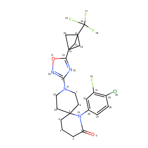 O=C1CCCC2(CCN(c3noc(C45CC(C(F)(F)F)(C4)C5)n3)CC2)N1c1ccc(Cl)c(F)c1